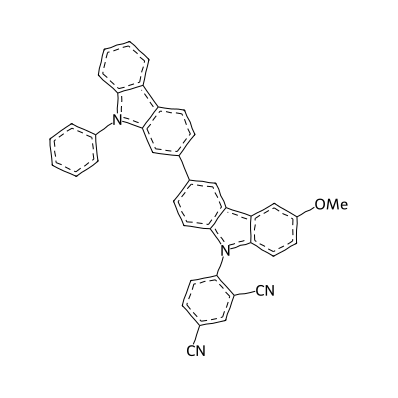 COc1ccc2c(c1)c1cc(-c3ccc4c5ccccc5n(-c5ccccc5)c4c3)ccc1n2-c1ccc(C#N)cc1C#N